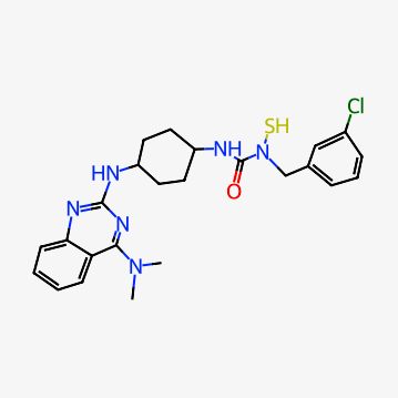 CN(C)c1nc(NC2CCC(NC(=O)N(S)Cc3cccc(Cl)c3)CC2)nc2ccccc12